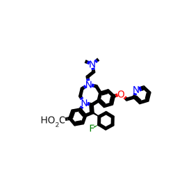 CN(C)CCN1CCn2c(c([C@H]3CCCC[C@@H]3F)c3ccc(C(=O)O)cc32)-c2ccc(OCc3ccccn3)cc2C1